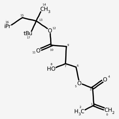 C=C(C)C(=O)OCC(O)CC(=O)OC(C)(CC(C)C)C(C)(C)C